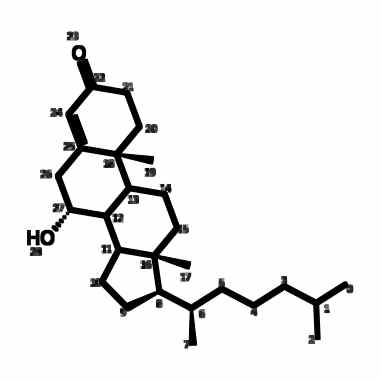 CC(C)CCC[C@@H](C)[C@H]1CCC2C3C(CC[C@@]21C)[C@@]1(C)CCC(=O)C=C1C[C@H]3O